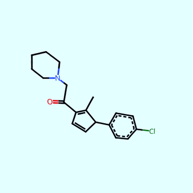 CC1=C(C(=O)CN2CCCCC2)C=CC1c1ccc(Cl)cc1